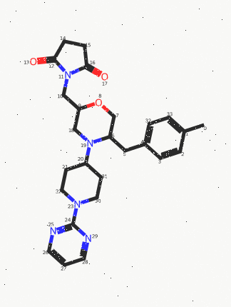 Cc1ccc(CC2COC(CN3C(=O)CCC3=O)CN2C2CCN(c3ncccn3)CC2)cc1